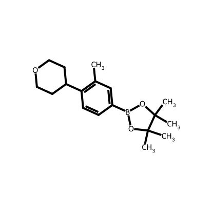 Cc1cc(B2OC(C)(C)C(C)(C)O2)ccc1C1CCOCC1